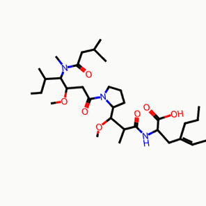 C/C=C(\CCC)CC(NC(=O)C(C)C(OC)C1CCCN1C(=O)CC(OC)C(C(C)CC)N(C)C(=O)CC(C)C)C(=O)O